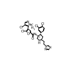 Cn1ncc(Cl)c1-c1cc(C(=O)N[C@@H]2CNC(CCn3cncn3)C[C@H]2c2ccc(Cl)c(Cl)c2)oc1Cl